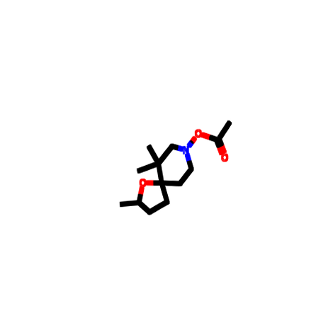 CC(=O)ON1CCC2(CCC(C)O2)C(C)(C)C1